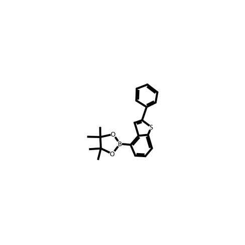 CC1(C)OB(c2cccc3sc(-c4ccccc4)cc23)OC1(C)C